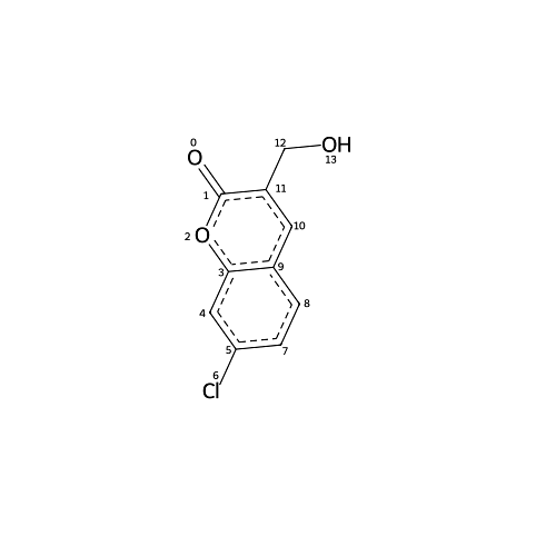 O=c1oc2cc(Cl)ccc2cc1CO